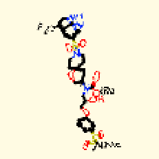 CNS(=O)(=O)c1cccc(OC[C@@H](O)CN(C(=O)OC(C)(C)C)[C@H]2COC3(CCN(S(=O)(=O)c4cnc5[nH]cc(C(F)(F)F)c5c4)CC3)C2)c1